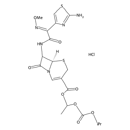 CON=C(C(=O)NC1C(=O)N2C=C(C(=O)OC(C)OC(=O)OC(C)C)CS[C@H]12)c1csc(N)n1.Cl